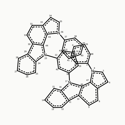 c1ccc(-n2ccc3ccc4c5ccccc5n(-c5cncc(-n6c7ccccc7c7ccc8ccn(-c9ccccc9)c8c76)c5)c4c32)cc1